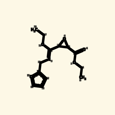 CCOC(=O)C1OC1C(=NCc1ccco1)OCC